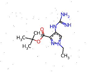 CCn1cc(NC(=N)N)c(C(=O)OC(C)(C)C)n1